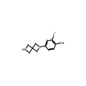 N#Cc1ccc(N2CC3(CNC3)C2)cc1F